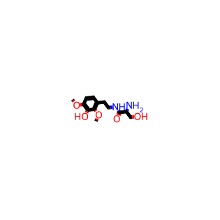 COc1ccc(CCNC(=O)C(N)CO)c(OC)c1O